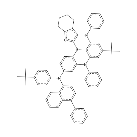 CC(C)(C)c1ccc(N(c2ccc3c(c2)N(c2ccccc2)c2cc(C(C)(C)C)cc4c2B3c2oc3c(c2N4c2ccccc2)CCCC3)c2ccc(-c3ccccc3)c3ccccc23)cc1